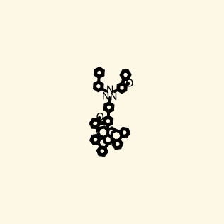 c1ccc(-c2cccc(-c3nc(-c4ccc(-c5ccc6c7c5oc5cccc(c57)C5CCC67CC6CC8(CC9CC(C5)(c5ccccc5-c5ccccc59)C87)c5ccccc5-c5ccccc56)cc4)nc(-c4ccc5oc6ccccc6c5c4)n3)c2)cc1